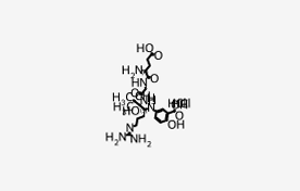 CC(C)(C)C(O)(NC(=O)CNC(=O)[C@H](N)CCC(=O)O)[C@H](CCCN=C(N)N)Nc1ccc(O)c(C(=O)O)c1.Cl.Cl